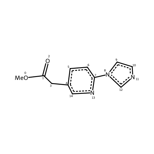 COC(=O)Cc1ccc(-n2ccnc2)nc1